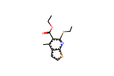 CCOC(=O)c1c(SCC)nc2sccc2c1C